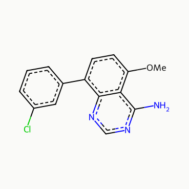 COc1ccc(-c2cccc(Cl)c2)c2ncnc(N)c12